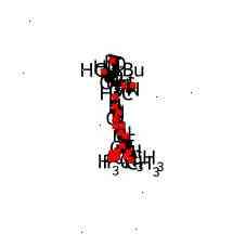 Cc1ncsc1-c1ccc(CNC(=O)[C@@H]2C[C@@H](O)CN2C(=O)[C@@H](NC(=O)C2(F)CC2)C(C)(C)C)c(OCCCCN2CCN(CC(=O)N3CCN(c4ncc(-c5cc(NC(=O)c6ccc(F)cc6C(F)(F)F)c(N6C[C@@H](C)N(C)[C@@H](C)C6)cc5F)cn4)CC3)CC2)c1